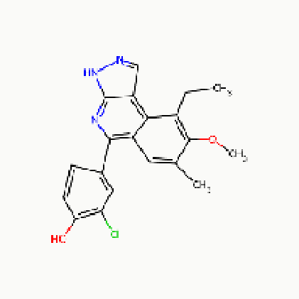 CCc1c(OC)c(C)cc2c(-c3ccc(O)c(Cl)c3)nc3[nH]ncc3c12